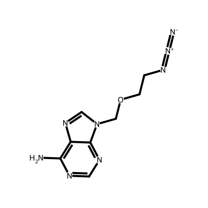 [N-]=[N+]=NCCOCn1cnc2c(N)ncnc21